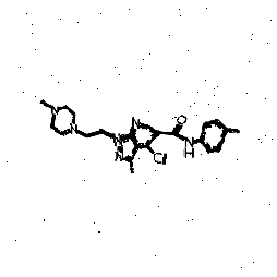 Cc1ccc(NC(=O)c2cnc3c(c(C)nn3CCN3CCN(C)CC3)c2Cl)cc1